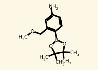 COCc1cc(N)ccc1B1OC(C)(C)C(C)(C)O1